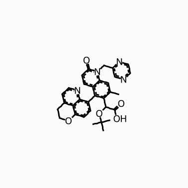 Cc1cc2c(ccc(=O)n2Cc2cnccn2)c(-c2ccc3c4c(ccnc24)CCO3)c1C(OC(C)(C)C)C(=O)O